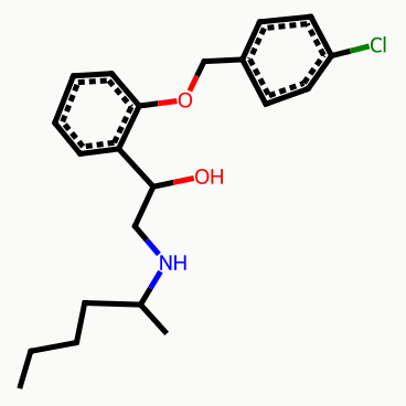 CCCCC(C)NCC(O)c1ccccc1OCc1ccc(Cl)cc1